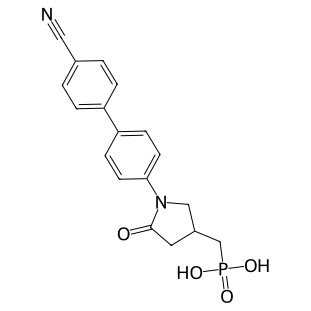 N#Cc1ccc(-c2ccc(N3CC(CP(=O)(O)O)CC3=O)cc2)cc1